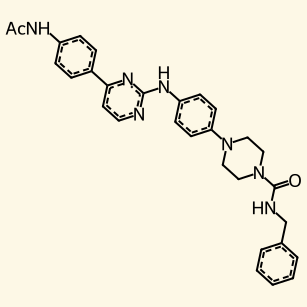 CC(=O)Nc1ccc(-c2ccnc(Nc3ccc(N4CCN(C(=O)NCc5ccccc5)CC4)cc3)n2)cc1